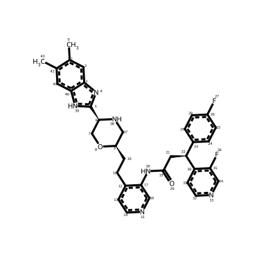 Cc1cc2nc([C@@H]3CO[C@H](CCc4ccncc4NC(=O)C[C@@H](c4ccc(F)cc4)c4ccncc4F)CN3)[nH]c2cc1C